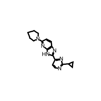 c1cc(-c2nc3ccc(N4CCCCC4)nc3[nH]2)nc(C2CC2)n1